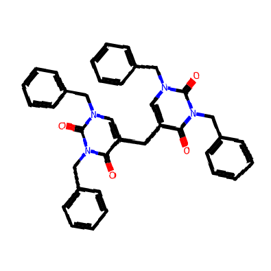 O=c1c(Cc2cn(Cc3ccccc3)c(=O)n(Cc3ccccc3)c2=O)cn(Cc2ccccc2)c(=O)n1Cc1ccccc1